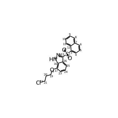 O=S(=O)(c1cccc2ccccc12)c1n[nH]c2c(OCCCCl)cccc12